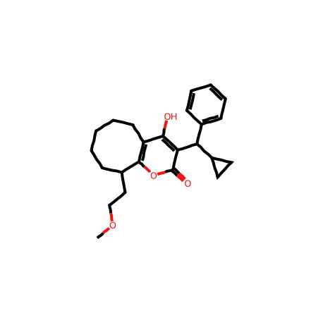 COCCC1CCCCCc2c1oc(=O)c(C(c1ccccc1)C1CC1)c2O